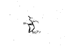 C=C(C)CN(C(C)=O)c1cc([N+](=O)[O-])ccc1Br